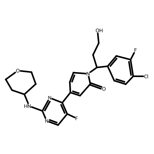 O=c1cc(-c2nc(NC3CCOCC3)ncc2F)ccn1C(CCO)c1ccc(Cl)c(F)c1